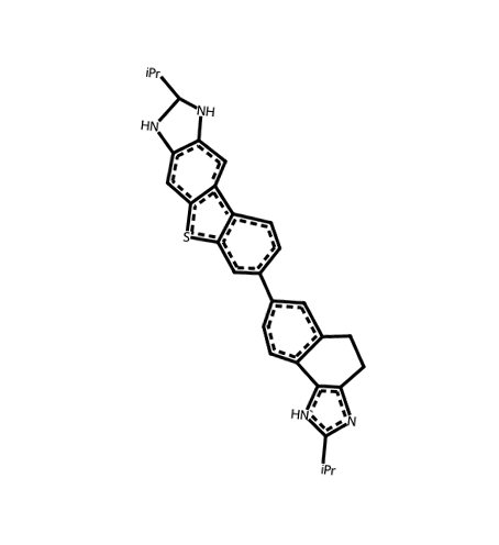 CC(C)c1nc2c([nH]1)-c1ccc(-c3ccc4c(c3)sc3cc5c(cc34)NC(C(C)C)N5)cc1CC2